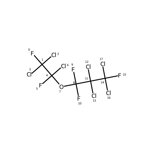 FC(Cl)(Cl)C(F)(Cl)OC(F)(F)C(Cl)(Cl)C(F)(Cl)Cl